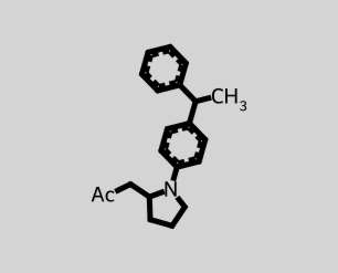 CC(=O)CC1CCCN1c1ccc(C(C)c2ccccc2)cc1